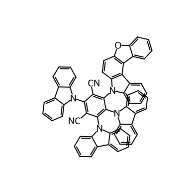 N#Cc1c(-n2c3ccccc3c3ccccc32)c(C#N)c(-n2c3ccccc3c3c4c(ccc32)oc2ccccc24)c(-n2c3ccccc3c3ccccc32)c1-n1c2ccccc2c2ccccc21